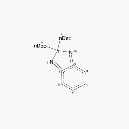 CCCCCCCCCCC1(CCCCCCCCCC)N=c2ccccc2=N1